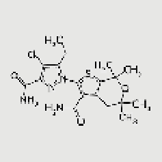 CCc1c(Cl)c(C(N)=O)nn1-c1sc2c(c1C(N)=O)CC(C)(C)OC2(C)C